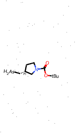 CC(C)(C)OC(=O)N1CC[C@@H](C[AsH2])C1